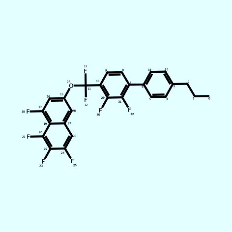 CCCc1ccc(-c2ccc(C(F)(F)Oc3cc(F)c4c(F)c(F)c(F)cc4c3)c(F)c2F)cc1